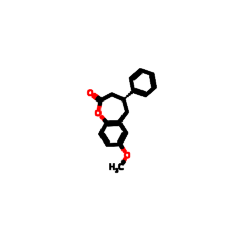 COc1ccc2c(c1)C[C@@H](c1ccccc1)CC(=O)O2